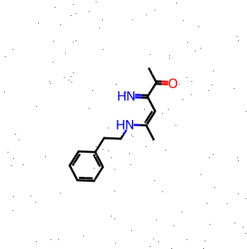 CC(=O)C(=N)/C=C(/C)NCCc1ccccc1